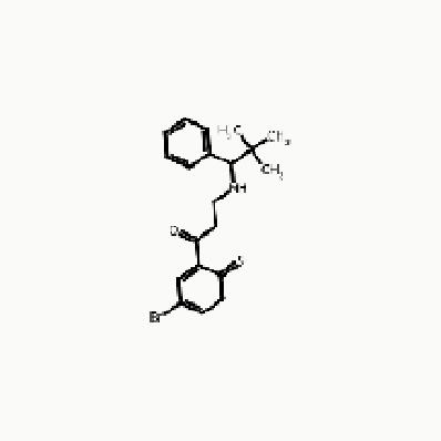 CC(C)(C)C(NCCC(=O)C1=CC(Br)=CCC1=S)c1ccccc1